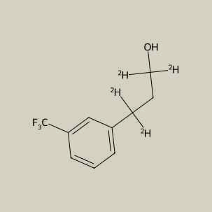 [2H]C([2H])(O)CC([2H])([2H])c1cccc(C(F)(F)F)c1